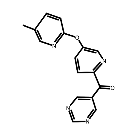 Cc1ccc(Oc2ccc(C(=O)c3cncnc3)nc2)nc1